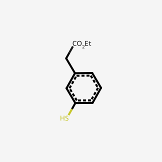 CCOC(=O)Cc1cccc(S)c1